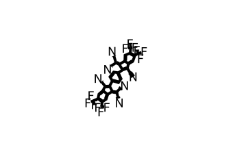 N#CC(C#N)=C1C(c2ccc(C3=C(C#N)c4cc(C(F)(F)F)c(C(F)(F)F)cc4C3=C(C#N)C#N)cc2)=C(C#N)c2cc(C(F)(F)F)c(C(F)(F)F)cc21